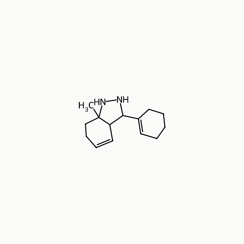 CC12CCC=CC1C(C1=CCCCC1)NN2